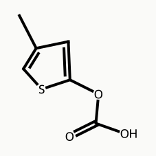 Cc1csc(OC(=O)O)c1